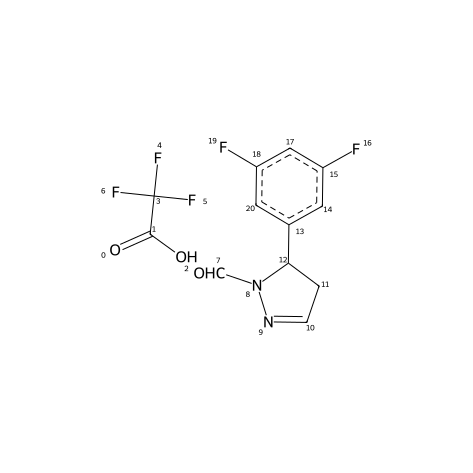 O=C(O)C(F)(F)F.O=CN1N=CCC1c1cc(F)cc(F)c1